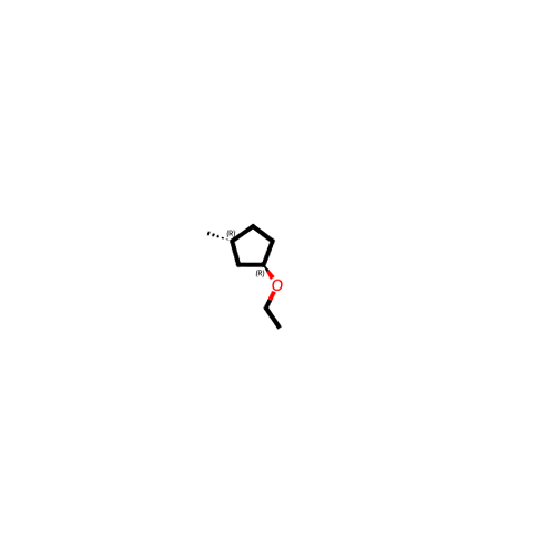 CCO[C@@H]1CC[C@@H](C)C1